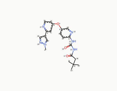 Cn1cc(-c2cc(Oc3ccc(NC(=O)NC(=O)CC(C)(C)C)nc3)ccn2)cn1